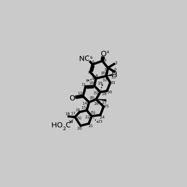 CC1(C)C(=O)C(C#N)=C[C@]2(C)C3=CC(=O)C4C5C[C@@](C)(C(=O)O)CC[C@]5(C)CC[C@@]4(C)[C@]3(C)CC[C@@H]12